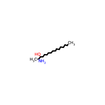 CCCCCCCCCCCCCC[C@@H](O)[C@H](C)N